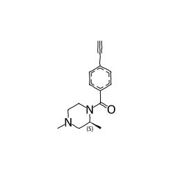 C#Cc1ccc(C(=O)N2CCN(C)C[C@@H]2C)cc1